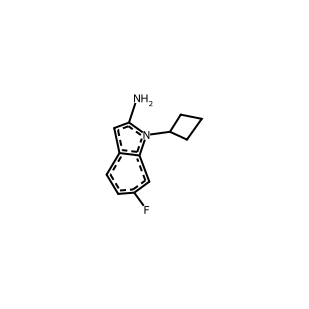 Nc1cc2ccc(F)cc2n1C1CCC1